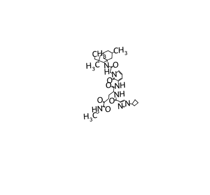 CCNC(=O)C(=O)CCC(NC(=O)c1cn(C2CCC2)cn1)C(=O)Nc1cccn(CC(=O)NC23CC(C)CC(CC(C)(CC)C2)C3)c1=O